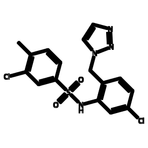 Cc1ccc(S(=O)(=O)Nc2cc(Cl)ccc2Cn2ccnn2)cc1Cl